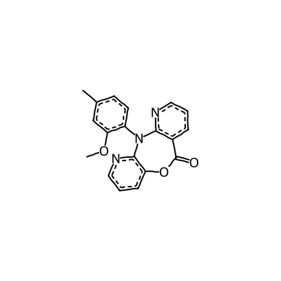 COc1cc(C)ccc1N1c2ncccc2OC(=O)c2cccnc21